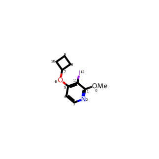 COc1nccc(OC2CCC2)c1I